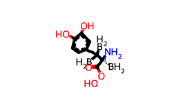 BC(B)(c1ccc(O)c(O)c1)[C@@](B)(N)C(=O)OO